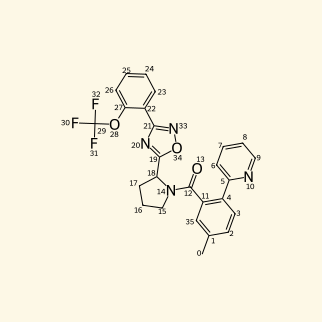 Cc1ccc(-c2ccccn2)c(C(=O)N2CCCC2c2nc(-c3ccccc3OC(F)(F)F)no2)c1